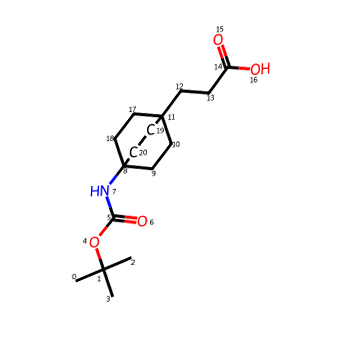 CC(C)(C)OC(=O)NC12CCC(CCC(=O)O)(CC1)CC2